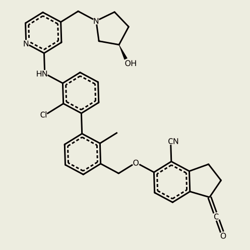 Cc1c(COc2ccc3c(c2C#N)CCC3=C=O)cccc1-c1cccc(Nc2cc(CN3CC[C@@H](O)C3)ccn2)c1Cl